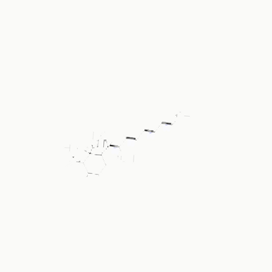 C/C=C/C=C/C=C/C(C)=C(\C)[C]1CCCC(C)C1(C)C